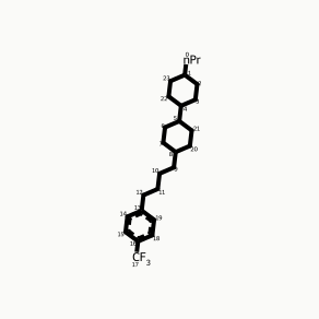 CCCC1CCC(C2CCC(CCCCc3ccc(C(F)(F)F)cc3)CC2)CC1